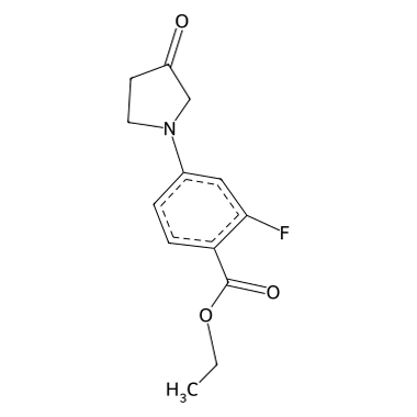 CCOC(=O)c1ccc(N2CCC(=O)C2)cc1F